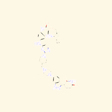 Cn1nc(C2CCC(=O)NC2=O)c2ccc(N3CCN(CC4CCN(c5ncc(Cl)c(Nc6ccc7c(c6)c6c(c(=O)n7C)OCC(F)(F)[C@H](C7CC7)N6)n5)CC4)[C@@H](C(F)(F)F)C3)cc21